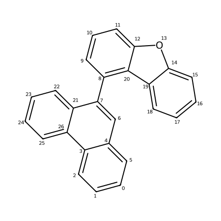 c1ccc2c(c1)cc(-c1cccc3oc4ccccc4c13)c1ccccc12